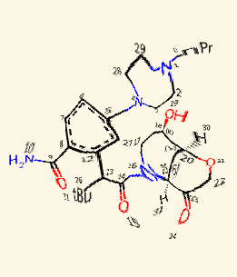 CCCN1CCN(c2ccc(C(N)=O)c(C(C(=O)N3C[C@@H](O)[C@H]4OCC(=O)[C@H]43)C(C)(C)C)c2)CC1